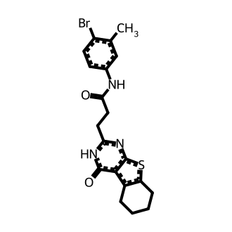 Cc1cc(NC(=O)CCc2nc3sc4c(c3c(=O)[nH]2)CCCC4)ccc1Br